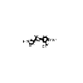 CCOc1cc(-c2nc(C3COB(O)C3)cs2)ccc1OC